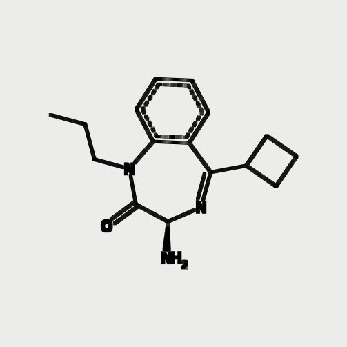 CCCN1C(=O)[C@H](N)N=C(C2CCC2)c2ccccc21